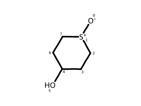 [O-][S+]1CCC(O)CC1